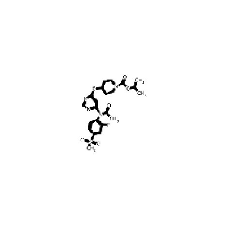 CC(=O)N(c1cc(OC2CCN(C(=O)OC(C)C)CC2)ncn1)c1ccc(S(C)(=O)=O)cc1F